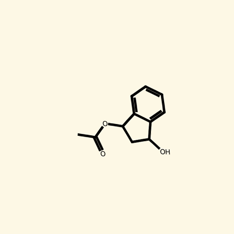 CC(=O)OC1CC(O)c2ccccc21